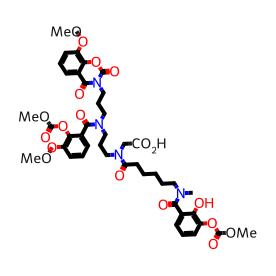 COOc1cccc(C(=O)N(CCCN(CC(=O)O)C(=O)CCCCCN(C)C(=O)c2cccc(OC(=O)OC)c2O)CCCn2c(=O)oc3c(OOC)cccc3c2=O)c1OC(=O)OC